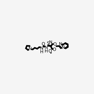 COC(=O)c1c(OCc2cn3ccccc3n2)nsc1NC(=O)NCCCCN1CCCC1